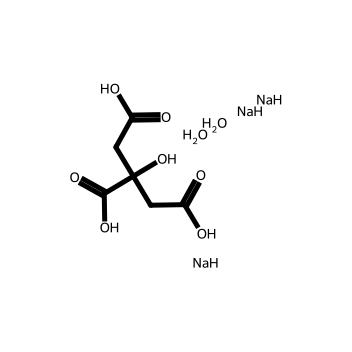 O.O.O=C(O)CC(O)(CC(=O)O)C(=O)O.[NaH].[NaH].[NaH]